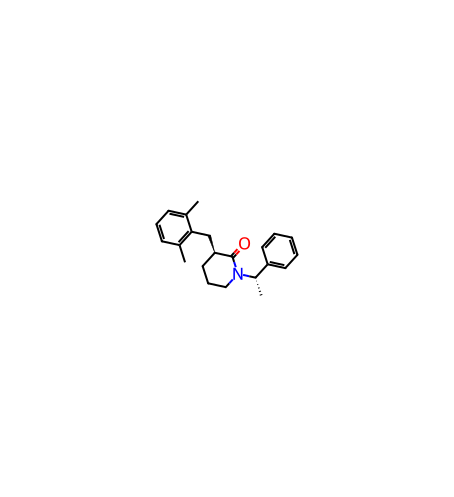 Cc1cccc(C)c1C[C@@H]1CCCN([C@@H](C)c2ccccc2)C1=O